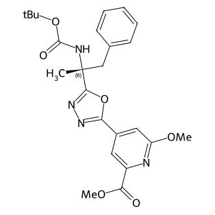 COC(=O)c1cc(-c2nnc([C@@](C)(Cc3ccccc3)NC(=O)OC(C)(C)C)o2)cc(OC)n1